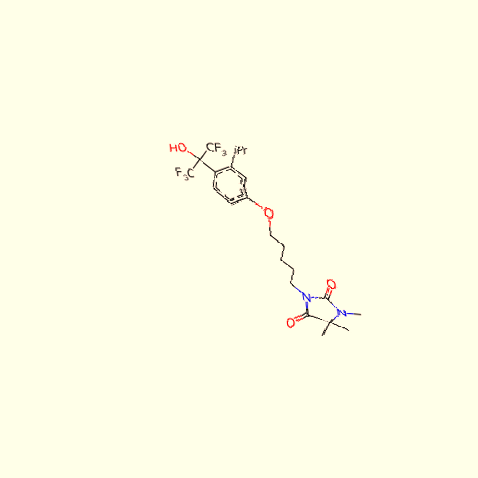 CC(C)c1cc(OCCCCCN2C(=O)N(C)C(C)(C)C2=O)ccc1C(O)(C(F)(F)F)C(F)(F)F